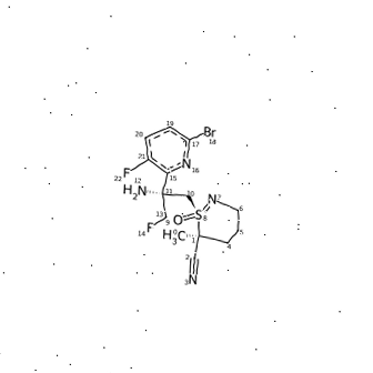 C[C@@]1(C#N)CCCN=[S@]1(=O)C[C@@](N)(CF)c1nc(Br)ccc1F